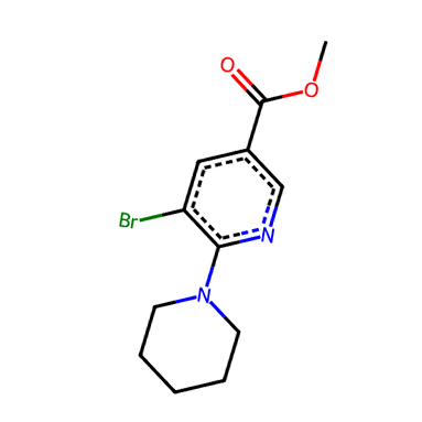 COC(=O)c1cnc(N2CCCCC2)c(Br)c1